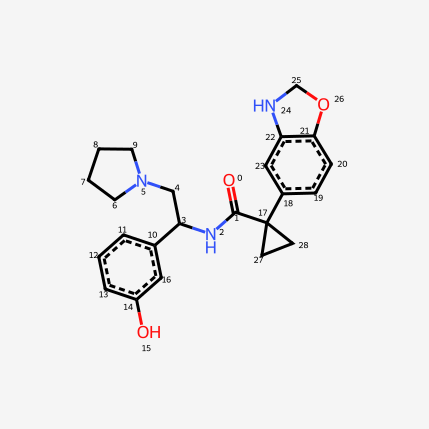 O=C(NC(CN1CCCC1)c1cccc(O)c1)C1(c2ccc3c(c2)NCO3)CC1